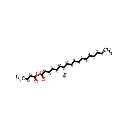 CCCCCCCCCCCCCCCCCC(=O)OC(=O)CCC.[Ti]